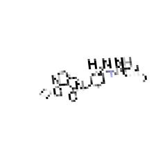 CN(N)/C=C(\N)c1ccc(CN2Cc3ccnc(OC4CCC4)c3C2=O)cc1